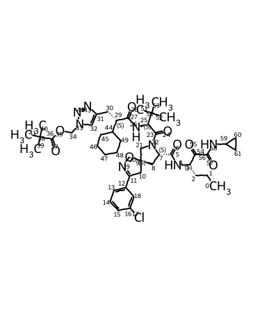 CCC[C@H](NC(=O)[C@@H]1C[C@]2(CC(c3cccc(Cl)c3)=NO2)CN1C(=O)[C@@H](NC(=O)[C@@H](Cc1cn(COC(=O)C(C)(C)C)nn1)C1CCCCC1)C(C)(C)C)C(=O)C(=O)NC1CC1